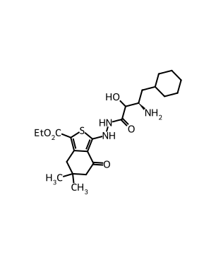 CCOC(=O)c1sc(NNC(=O)C(O)[C@H](N)CC2CCCCC2)c2c1CC(C)(C)CC2=O